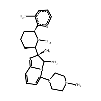 Cc1cccnc1[C@@H]1CCC[C@H]([C@@]2(C)N=C3C=CC=C(N4CCN(C)CC4)N3C2N)N1C